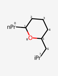 CCCC1CCCC(CC(C)C)O1